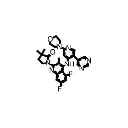 Cc1c(N2CCC(C)(C)C2=O)nc2cc(F)cc(F)c2c1Nc1cc(N2CCOCC2)ncc1-c1cncnc1